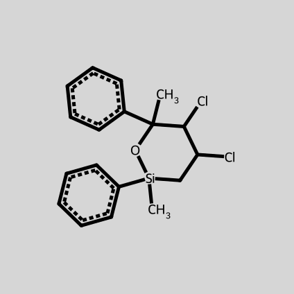 CC1(c2ccccc2)O[Si](C)(c2ccccc2)CC(Cl)C1Cl